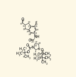 CC(C)(C)OC(=O)N1C[C@@H](O[Si](C)(C)C(C)(C)C)C[C@H]1C(=O)Nc1cc(F)c2c(c1)CC(C=O)C2